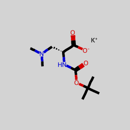 CN(C)C[C@@H](NC(=O)OC(C)(C)C)C(=O)[O-].[K+]